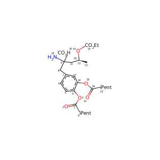 CCCC(C)C(=O)Oc1ccc(CC(N)(C[C@H](C)OC(=O)OCC)C(=O)O)cc1OC(=O)C(C)CCC